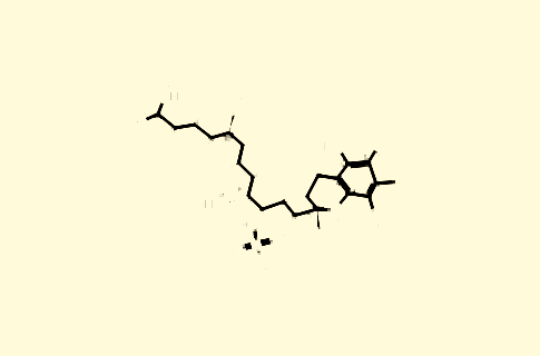 Cc1c(C)c2c(c(C)c1O)CC[C@@](C)(CCC[C@H](C)CCC[C@H](C)CCCC(C)C)O2.O=S(=O)(O)O